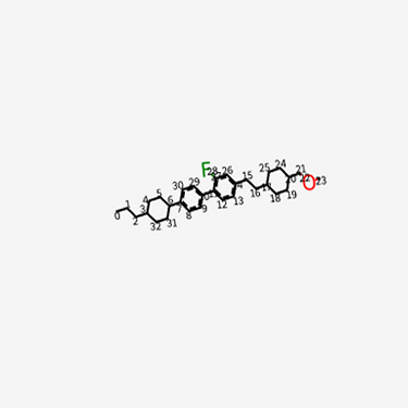 CCCC1CCC(c2ccc(-c3ccc(CCC4CCC(COC)CC4)cc3F)cc2)CC1